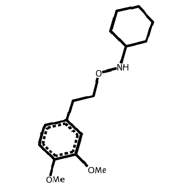 COc1ccc(CCONC2CCCCC2)cc1OC